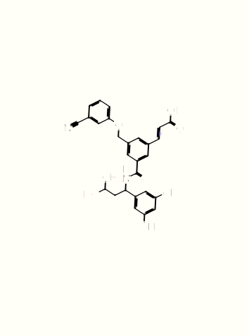 Cc1cc(C)cc(C(CC(C)C)NC(=O)c2cc(/C=C/C(=O)O)cc(COc3cccc(C#N)c3)c2)c1